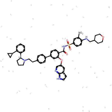 O=C(NS(=O)(=O)c1ccc(NCC2CCOCC2)c([N+](=O)[O-])c1)c1ccc(-c2ccc(CCN3CCC[C@H]3c3ccccc3C3CC3)cc2)cc1Oc1cnc2[nH]ccc2c1